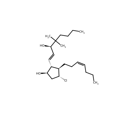 CCC/C=C\CC[C@@H]1[C@@H](/C=C/[C@@H](O)C(C)(C)CCCC)[C@H](O)C[C@H]1Cl